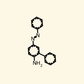 Nc1ccc(N=Nc2ccccc2)cc1-c1ccccc1